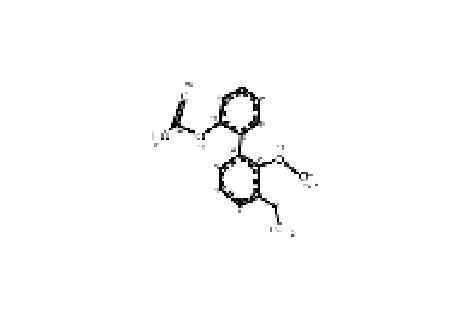 CCc1cccc(-c2ccccc2OC(=O)O)c1OC